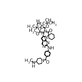 CNC1CCN(C(=O)c2ccc(Nc3ncc4cc5n(c4n3)C3(CCCCC3)C(=O)N(C(=O)OC(C)(C)C)N5C(=O)OC(C)(C)C)cc2)CC1